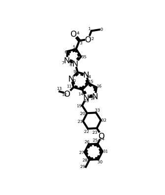 CCOC(=O)c1cnn(-c2nc(OC)c3c(cnn3CC3CCC(Oc4ccc(C)cc4)CC3)n2)c1